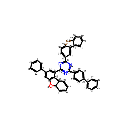 C1=CC2Oc3cc(-c4ccccc4)cc(-c4nc(-c5ccc(-c6ccccc6)cc5)nc(-c5ccc6sc7ccccc7c6c5)n4)c3C2C=C1